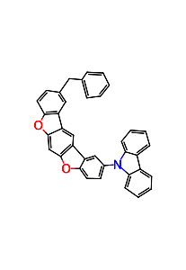 c1ccc(Cc2ccc3oc4cc5oc6ccc(-n7c8ccccc8c8ccccc87)cc6c5cc4c3c2)cc1